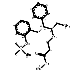 CC(C)(C)OC(=O)CCO[C@H](CN)[C@H](Cc1ccccc1O[Si](C)(C)C(C)(C)C)c1ccccc1